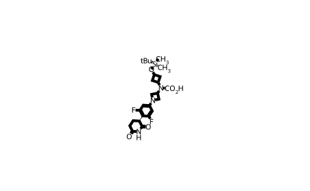 CC(C)(C)[Si](C)(C)OC1CC(N(C(=O)O)C2CN(c3cc(F)c([C@H]4CCC(=O)NC4=O)c(F)c3)C2)C1